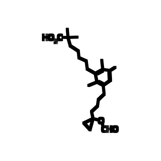 Cc1cc(CCCCC2(OC=O)CC2)c(C)c(CCCCCC(C)(C)C(=O)O)c1C